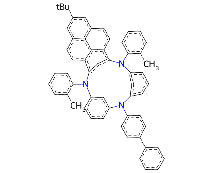 Cc1ccccc1N1c2cccc(c2)N(c2ccc(-c3ccccc3)cc2)c2cccc(c2)N(c2ccccc2C)c2cc1c1ccc3cc(C(C)(C)C)cc4ccc2c1c34